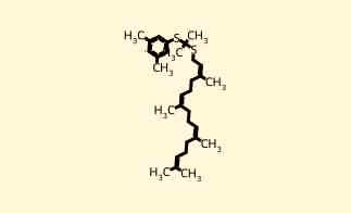 CC(C)=CCCC(C)=CCCC(C)=CCCC(C)=CCSC(C)(C)Sc1cc(C)[c]c(C)c1